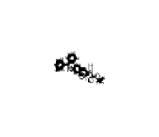 CC(C)(C)OC(=O)NC1COc2cc(N=C(c3ccccc3)c3ccccc3)ccc2C1